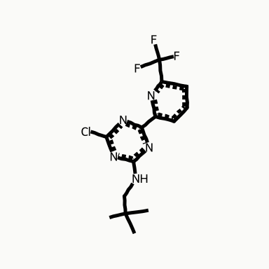 CC(C)(C)CNc1nc(Cl)nc(-c2cccc(C(F)(F)F)n2)n1